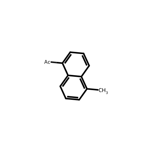 CC(=O)c1cccc2c(C)cccc12